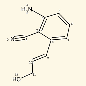 N#Cc1c(N)cccc1C=CCO